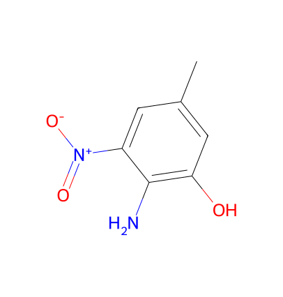 Cc1cc(O)c(N)c([N+](=O)[O-])c1